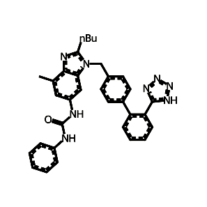 CCCCc1nc2c(C)cc(NC(=O)Nc3ccccc3)cc2n1Cc1ccc(-c2ccccc2-c2nnn[nH]2)cc1